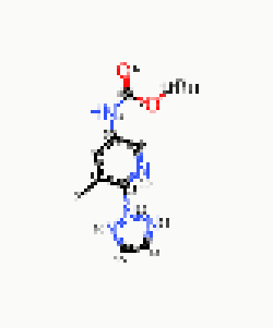 Cc1cc(NC(=O)OC(C)(C)C)cnc1-n1nccn1